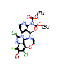 C[C@H](c1cccnc1N(C(=O)OC(C)(C)C)C(=O)OC(C)(C)C)N1CCOc2c(Cl)c(Br)c(F)c3nc(Cl)nc1c23